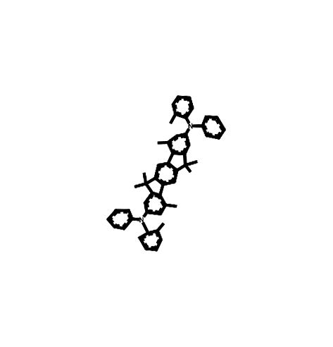 Cc1ccccc1N(c1ccccc1)c1cc(C)c2c(c1)C(C)(C)c1cc3c(cc1-2)C(C)(C)c1cc(N(c2ccccc2)c2ccccc2C)cc(C)c1-3